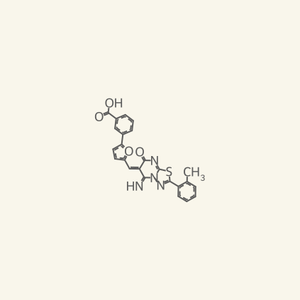 Cc1ccccc1C1=NN2C(=N)C(=Cc3ccc(-c4cccc(C(=O)O)c4)o3)C(=O)N=C2S1